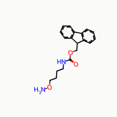 NOCCCCNC(=O)OCC1c2ccccc2-c2ccccc21